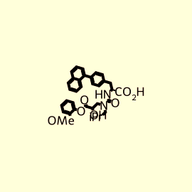 COc1ccccc1OC(=O)C(O)CN(CC(C)C)C(=O)N[C@@H](Cc1ccc(-c2cccc3ccccc23)cc1)C(=O)O